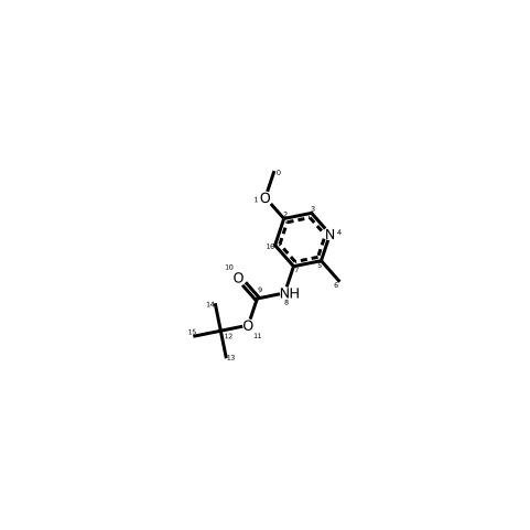 COc1cnc(C)c(NC(=O)OC(C)(C)C)c1